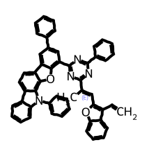 C=Cc1c(/C=C(\C)c2nc(-c3ccccc3)nc(-c3cc(-c4ccccc4)cc4c3oc3c4ccc4c5ccccc5n(-c5ccccc5)c43)n2)oc2ccccc12